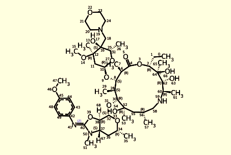 CC[C@H]1OC(=O)[C@H](C)[C@@H](O[C@H]2C[C@@](C)(OC)[C@](O)(CN3CCOCC3)[C@H](C)O2)[C@H](C)[C@@H](O[C@@H]2O[C@H](C)C[C@H]3[C@H]2O/C(=N\c2ccc(OC)cc2)N3C)[C@](C)(O)C[C@@H](C)CN[C@H](C)[C@@H](O)[C@]1(C)O